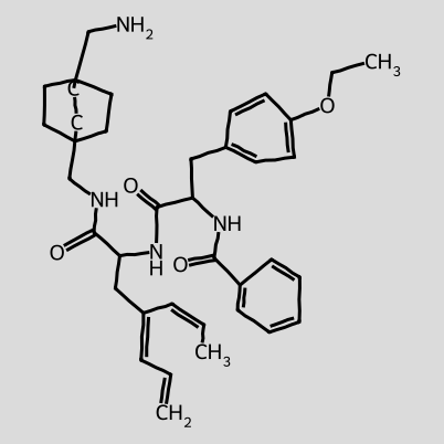 C=C/C=C(\C=C/C)CC(NC(=O)C(Cc1ccc(OCC)cc1)NC(=O)c1ccccc1)C(=O)NCC12CCC(CN)(CC1)CC2